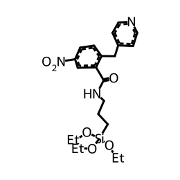 CCO[Si](CCCNC(=O)c1cc([N+](=O)[O-])ccc1Cc1ccncc1)(OCC)OCC